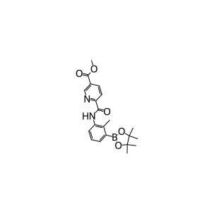 COC(=O)c1ccc(C(=O)Nc2cccc(B3OC(C)(C)C(C)(C)O3)c2C)nc1